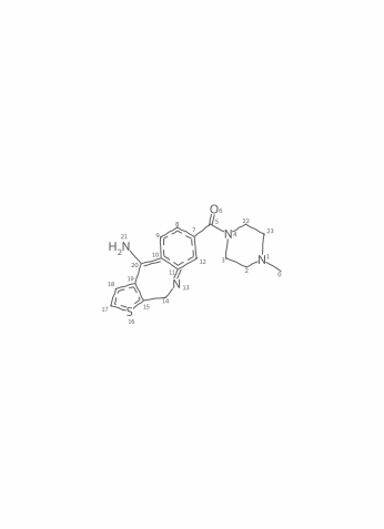 CN1CCN(C(=O)c2ccc3c(c2)=NCc2sccc2C=3N)CC1